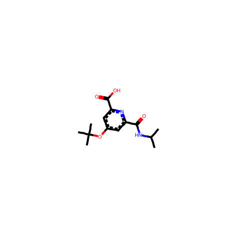 CC(C)NC(=O)c1cc(OC(C)(C)C)cc(C(=O)O)n1